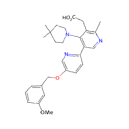 COc1cccc(COc2ccc(-c3cnc(C)c(CC(=O)O)c3N3CCC(C)(C)CC3)nc2)c1